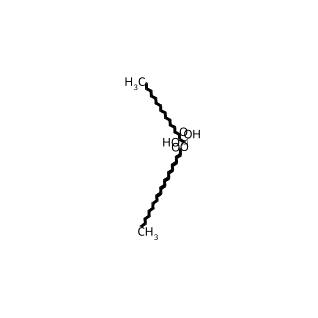 CCCCCCCCCC=CC=CC=CC=CC=CC=CC(=O)O[C@@H](CO)C(O)C(=O)CCCCCCCCCCCCCCC